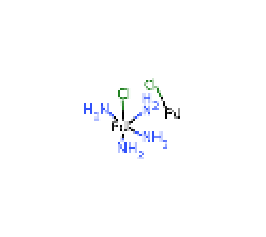 [Cl][Pd].[NH2][Pd]([NH2])([NH2])([NH2])[Cl]